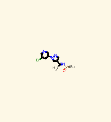 C/C(=N\[S+]([O-])C(C)(C)C)c1cnn(-c2cncc(Br)c2)c1